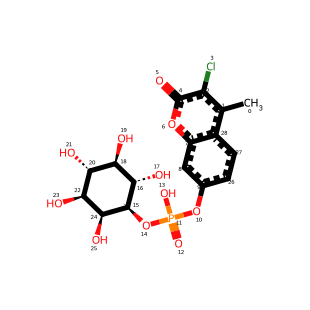 Cc1c(Cl)c(=O)oc2cc(OP(=O)(O)O[C@@H]3[C@@H](O)[C@H](O)[C@@H](O)[C@H](O)[C@@H]3O)ccc12